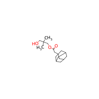 CC(C)(CO)COC(=O)CC12CC3CC(CC(C3)C1)C2